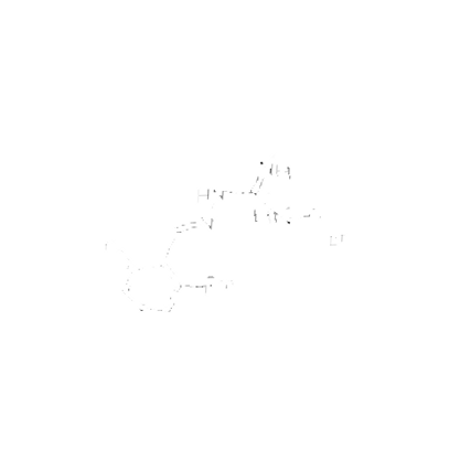 CCONC(=N)N/N=C/c1c(F)cccc1Cl